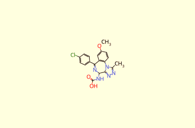 COc1ccc2c(c1)C(c1ccc(Cl)cc1)=NC(NC(=O)O)c1nnc(C)n1-2